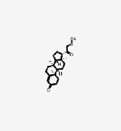 CC(=O)SCC(=O)[C@H]1CC[C@H]2[C@@H]3CCC4=CC(=O)CC[C@]4(C)[C@H]3CC[C@]12C